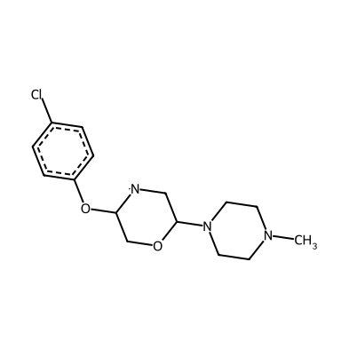 CN1CCN(C2C[N]C(Oc3ccc(Cl)cc3)CO2)CC1